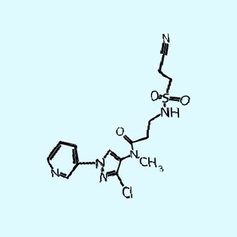 CN(C(=O)CCNS(=O)(=O)CCC#N)c1cn(-c2cccnc2)nc1Cl